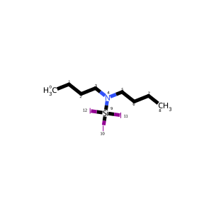 CCCCN(CCCC)[Si](I)(I)I